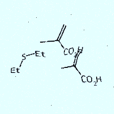 C=C(C)C(=O)O.C=C(C)C(=O)O.CCSCC